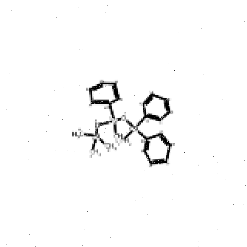 C[Si](C)(C)O[Si](C)(O[Si](C)(c1ccccc1)c1ccccc1)c1ccccc1